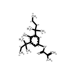 C=C(C)C(=O)Oc1cc(C(C)(C)CC)c(O)c(C(C)(C)CCC)c1